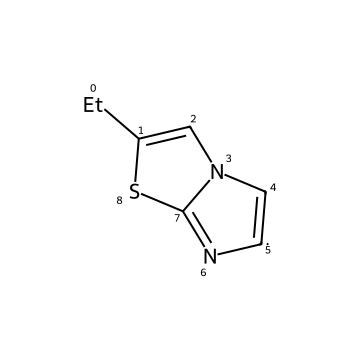 CCc1cn2c[c]nc2s1